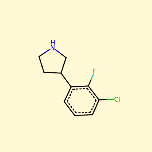 Fc1c(Cl)cccc1C1CCNC1